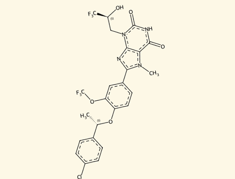 C[C@H](Oc1ccc(-c2nc3c(c(=O)[nH]c(=O)n3C[C@H](O)C(F)(F)F)n2C)cc1OC(F)(F)F)c1ccc(Cl)cc1